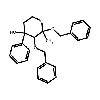 CC1(OCc2ccccc2)OCCC(O)(c2ccccc2)C1OCc1ccccc1